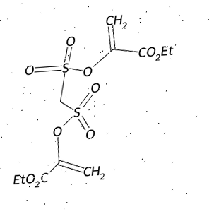 C=C(OS(=O)(=O)CS(=O)(=O)OC(=C)C(=O)OCC)C(=O)OCC